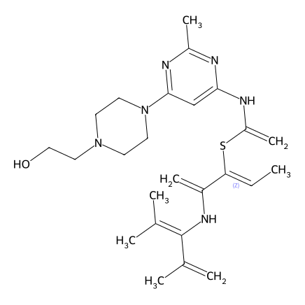 C=C(Nc1cc(N2CCN(CCO)CC2)nc(C)n1)S/C(=C\C)C(=C)NC(C(=C)C)=C(C)C